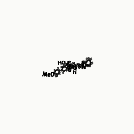 COc1ccc(-c2ccc(S(=O)(=O)NC(CC(O)CSc3nc4ccccc4s3)C(=O)O)cc2)cc1